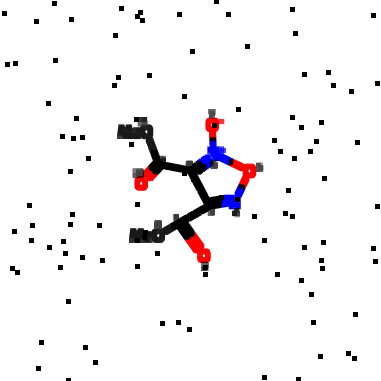 COC(=O)c1no[n+]([O-])c1C(=O)OC